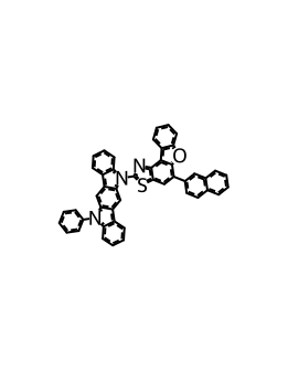 c1ccc(-n2c3ccccc3c3cc4c(cc32)c2ccccc2n4-c2nc3c(cc(-c4ccc5ccccc5c4)c4oc5ccccc5c43)s2)cc1